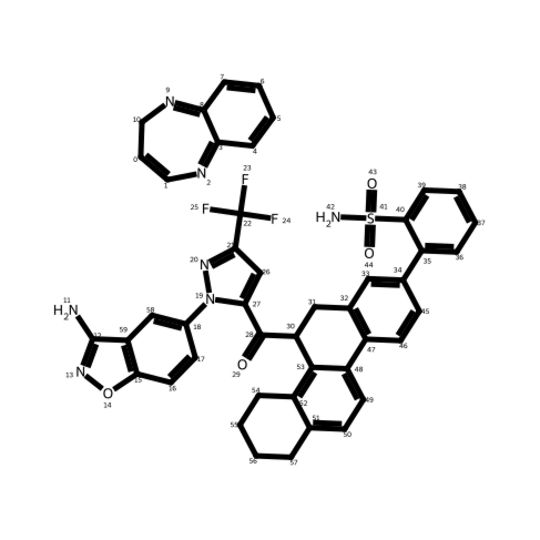 C1=CN=c2ccccc2=NC1.Nc1noc2ccc(-n3nc(C(F)(F)F)cc3C(=O)C3Cc4cc(-c5ccccc5S(N)(=O)=O)ccc4-c4ccc5c(c43)CCCC5)cc12